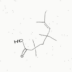 CC(C)=CC(C)(C)CC(C)(C)C(=O)O